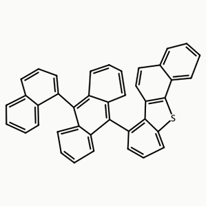 c1ccc2c(-c3c4ccccc4c(-c4cccc5sc6c7ccccc7ccc6c45)c4ccccc34)cccc2c1